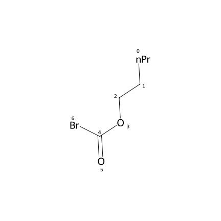 CCCCCOC(=O)Br